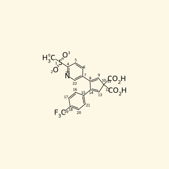 CS(=O)(=O)c1ccc(C2=CC(C(=O)O)(C(=O)O)C=C2c2ccc(C(F)(F)F)cc2)cn1